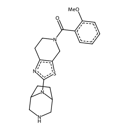 COc1ccccc1C(=O)N1CCc2nc(N3C4CCC3CNC4)sc2C1